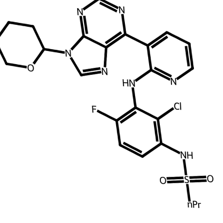 CCCS(=O)(=O)Nc1ccc(F)c(Nc2ncccc2-c2ncnc3c2ncn3C2CCCCO2)c1Cl